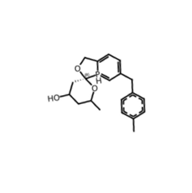 Cc1ccc(CC2=CC=C3CO[C@@]4(CC(O)CC(C)O4)[PH]3=C2)cc1